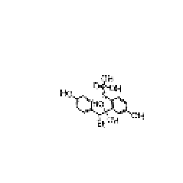 CCC(c1ccc(O)cc1)C(O)(O)c1cc(O)ccc1SP(=O)(O)O